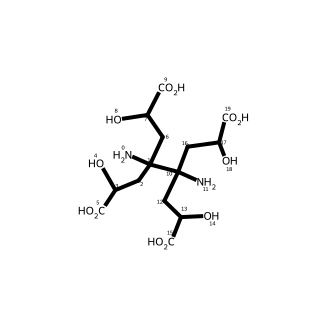 NC(CC(O)C(=O)O)(CC(O)C(=O)O)C(N)(CC(O)C(=O)O)CC(O)C(=O)O